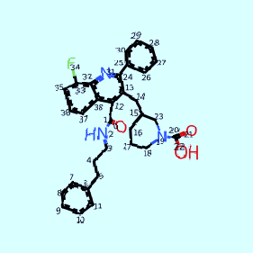 O=C(NCCCc1ccccc1)c1c(CC2CCCN(C(=O)O)C2)c(-c2ccccc2)nc2c(F)cccc12